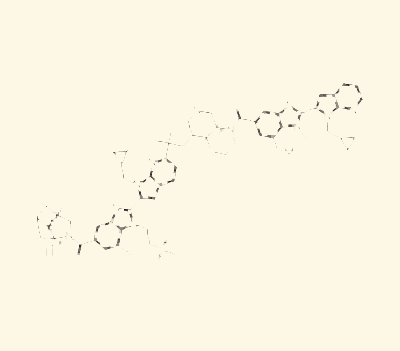 COc1cc(C(=O)N2CCO[C@H]3C(CC(C)(O)c4ccc5cc(-c6nc7cc(C(=O)N8C[C@H]9CC%10C[C@@H]8[C@H]%109)cc(F)c7n6CCS(C)(=O)=O)n(CC6CC6)c5n4)CNC[C@H]32)cc2nc(-c3cc4cccnc4n3CC3CC3)n(C)c12